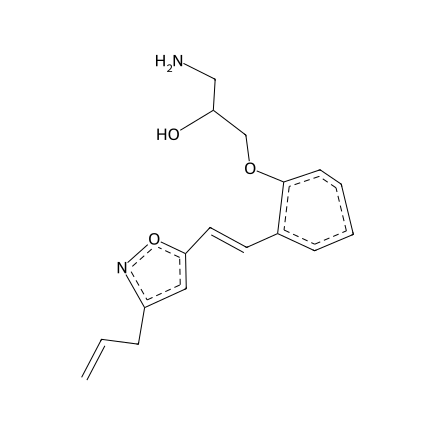 C=CCc1cc(C=Cc2ccccc2OCC(O)CN)on1